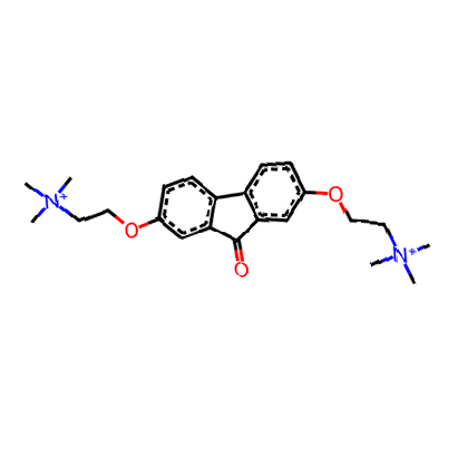 C[N+](C)(C)CCOc1ccc2c(c1)C(=O)c1cc(OCC[N+](C)(C)C)ccc1-2